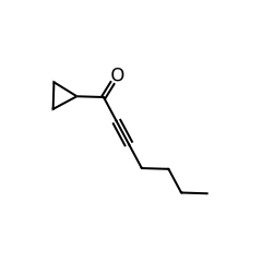 CCCCC#CC(=O)C1CC1